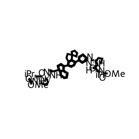 COC(=O)N[C@H](C(=O)N1CCC[C@H]1c1ncc(-c2ccc(-c3ccc(-c4ccc5nc([C@@H]6CCCN6C(=O)[C@@H](NC(=O)OC)C(C)C)[nH]c5c4)c4c3CCC43CCCC3)c3ccccc23)[nH]1)C(C)C